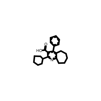 O=C(O)c1c(C2CCCCC2)nc2c(c1-c1ccccc1)CCCCC2